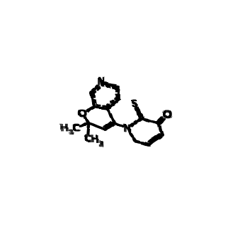 CC1(C)C=C(N2CC=CC(=O)C2=S)c2ccncc2O1